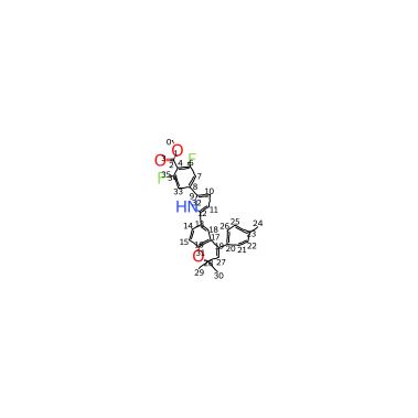 COC(=O)c1c(F)cc(-c2ccc(-c3ccc4c(c3)C(c3ccc(C)cc3)=CC(C)(C)O4)[nH]2)cc1F